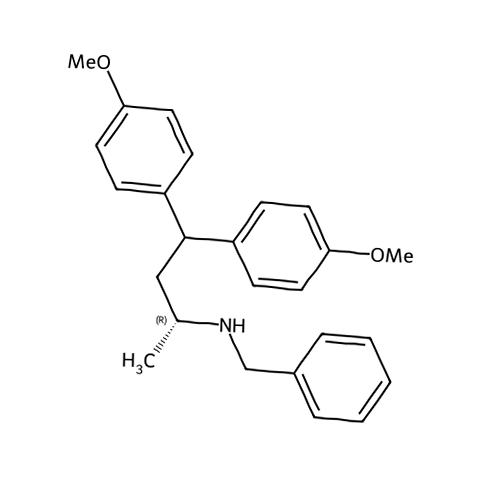 COc1ccc(C(C[C@@H](C)NCc2ccccc2)c2ccc(OC)cc2)cc1